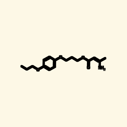 CCCOc1ccc(OCCCOC(=O)C=C(C)N)cc1